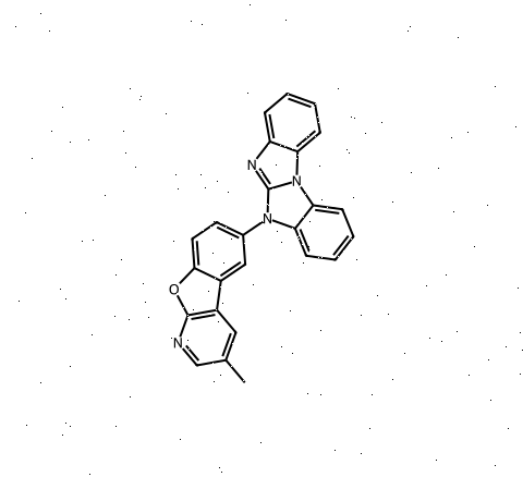 Cc1cnc2oc3ccc(-n4c5ccccc5n5c6ccccc6nc45)cc3c2c1